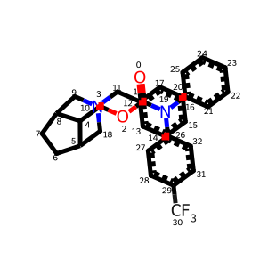 O=C(OCC1C2CCC1CN(Cc1ccccc1)C2)N(c1ccccc1)c1ccc(C(F)(F)F)cc1